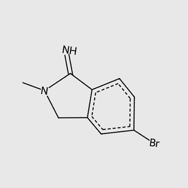 CN1Cc2cc(Br)ccc2C1=N